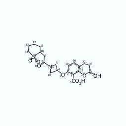 O=C(O)c1c(OC2CN(C(=O)CC3CCCCS3(=O)=O)C2)ccc2c1OB(O)CC2